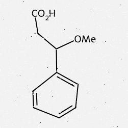 COC([CH]C(=O)O)c1ccccc1